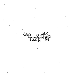 C[C@@H]1CCc2nnc(-c3cccc(NC(=O)c4cc5c(cn4)CCN(CC(=O)N4CCCC4)C5)n3)n21